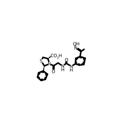 CC(=NO)c1cccc(NC(=O)NCC(=O)N2[C@@H](c3ccccc3)SC[C@H]2C(=O)O)c1